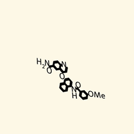 COc1cccc(C(=O)Nc2ccc(Oc3ccnc4ccc(C(N)=O)cc34)c3ccccc23)c1